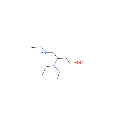 CCNCC(CCO)N(CC)CC